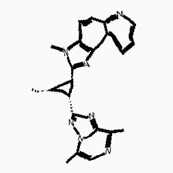 Cc1ncc(C)n2nc([C@@H]3[C@H](C)[C@H]3c3nc4c5cccnc5ccc4n3C)nc12